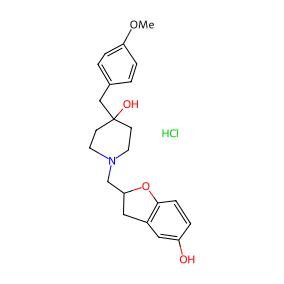 COc1ccc(CC2(O)CCN(CC3Cc4cc(O)ccc4O3)CC2)cc1.Cl